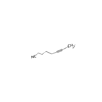 [CH2]C#CCCCCC#N